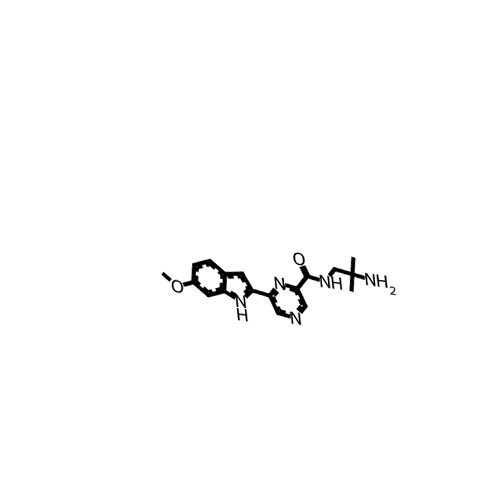 COc1ccc2cc(-c3cncc(C(=O)NCC(C)(C)N)n3)[nH]c2c1